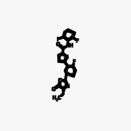 CCn1nc(-c2ccc(F)c(-c3ccc(C(=O)Nc4c(F)cccc4F)s3)c2)oc1=O